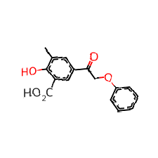 Cc1cc(C(=O)COc2ccccc2)cc(C(=O)O)c1O